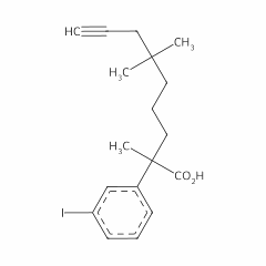 C#CCC(C)(C)CCCC(C)(C(=O)O)c1cccc(I)c1